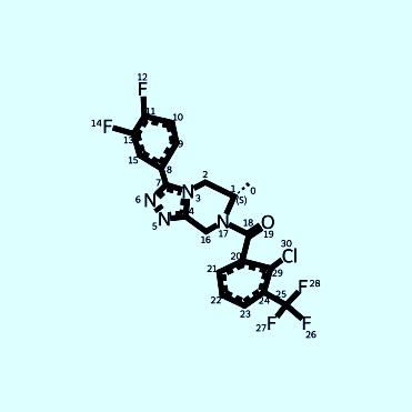 C[C@H]1Cn2c(nnc2-c2ccc(F)c(F)c2)CN1C(=O)c1cccc(C(F)(F)F)c1Cl